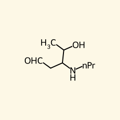 CCCNC(CC=O)C(C)O